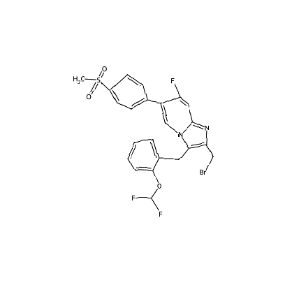 CS(=O)(=O)c1ccc(-c2cn3c(Cc4ccccc4OC(F)F)c(CBr)nc3cc2F)cc1